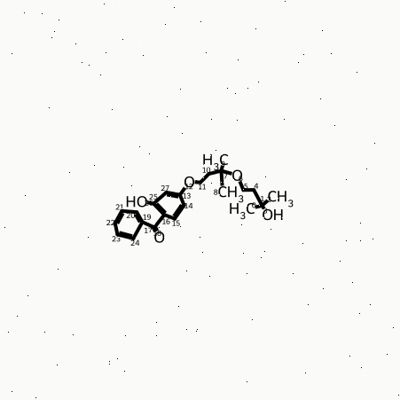 CC(C)(O)CCOC(C)(C)CCOc1ccc(C(=O)c2ccccc2)c(O)c1